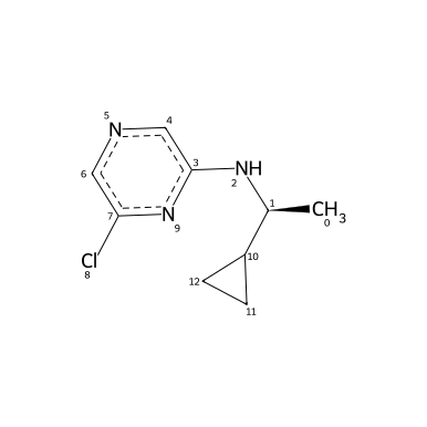 C[C@H](Nc1cncc(Cl)n1)C1CC1